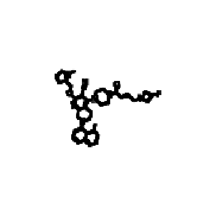 Cc1cccc2cccc(N3CCc4c(nc(OCC5CCCN5C)c(C#N)c4N4CCN(C(=O)C=CCN5CC(F)C5)CC4)C3)c12